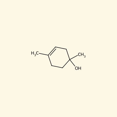 CC1=CCC(C)(O)CC1